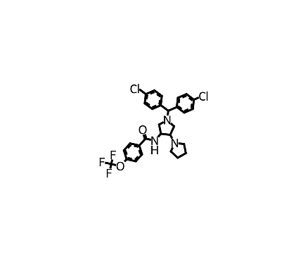 O=C(NC1CN(C(c2ccc(Cl)cc2)c2ccc(Cl)cc2)CC1N1CCCC1)c1ccc(OC(F)(F)F)cc1